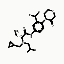 NC[C@H](C(=O)Nc1ccc(N2CCOCC2=O)c(C(F)F)c1)N(CC(F)F)CC1CC1